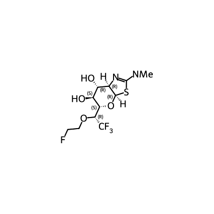 CNC1=N[C@@H]2[C@@H](O)[C@H](O)[C@@H]([C@@H](OCCF)C(F)(F)F)O[C@@H]2S1